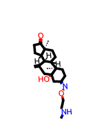 C=C1C[C@@]2(O)CC(=NOCCNC)CC[C@]2(C)[C@H]2CC[C@]3(C)C(=O)CC[C@H]3[C@H]12